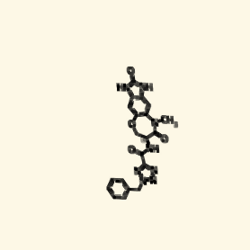 CN1C(=O)[C@@H](NC(=O)c2nnn(Cc3ccccc3)n2)COc2cc3[nH]c(=O)[nH]c3cc21